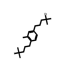 CCC(C)(C)CCCc1ccc(CCCC(C)(C)I)c(C)c1